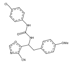 COc1ccc(CC(NC(=O)Nc2ccc(Cl)cc2)c2ocnc2C#N)cc1